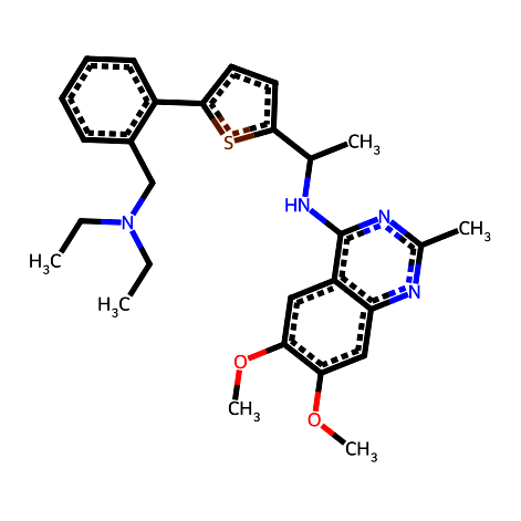 CCN(CC)Cc1ccccc1-c1ccc(C(C)Nc2nc(C)nc3cc(OC)c(OC)cc23)s1